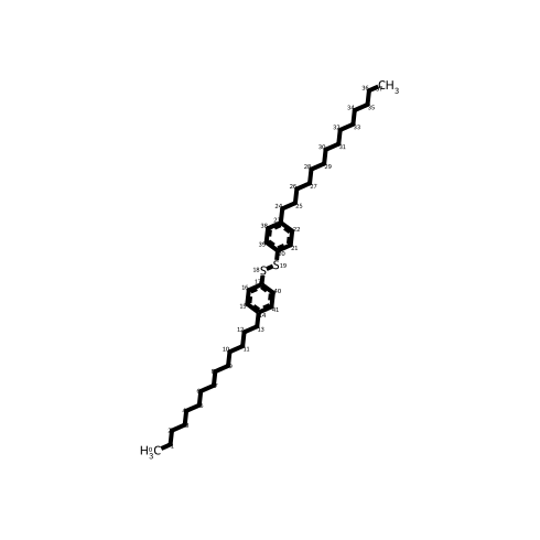 CCCCCCCCCCCCCCc1ccc(SSc2ccc(CCCCCCCCCCCCCC)cc2)cc1